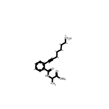 COC(=O)C(C)NC(=O)c1ccccc1C#CCCCCCC(=O)O